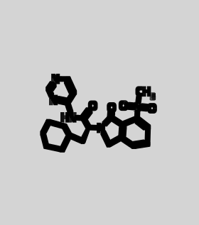 CS(=O)(=O)c1cccc2c1C(=O)N([C@@H](CC1CCCCC1)C(=O)Nc1ccncn1)C2